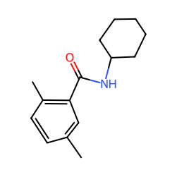 Cc1ccc(C)c(C(=O)NC2CCCCC2)c1